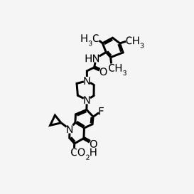 Cc1cc(C)c(NC(=O)CN2CCN(c3cc4c(cc3F)c(=O)c(C(=O)O)cn4C3CC3)CC2)c(C)c1